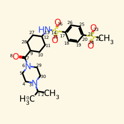 CC(C)N1CCN(C(=O)C2CCC(NS(=O)(=O)c3ccc(S(C)(=O)=O)cc3)CC2)CC1